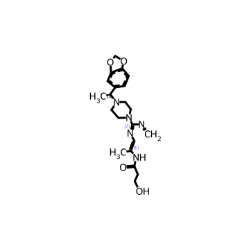 C=N/C(=N\C=C(/C)NC(=O)CCO)N1CCN([C@@H](C)c2ccc3c(c2)OCO3)CC1